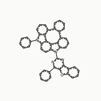 c1ccc(-c2nc(-n3c4cccc5c6ccccc6c6cccc7c6c6c(c54)c3ccc6n7-c3ccccc3)nc3c2oc2ccccc23)cc1